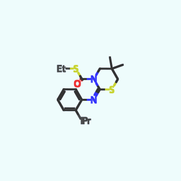 CCSC(=O)N1CC(C)(C)CS/C1=N/c1ccccc1C(C)C